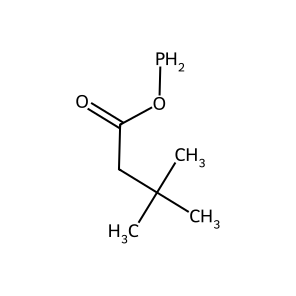 CC(C)(C)CC(=O)OP